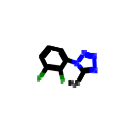 Cc1nnnn1-c1cccc(F)c1F